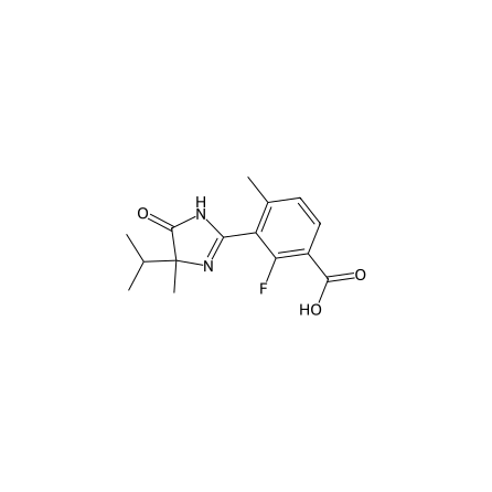 Cc1ccc(C(=O)O)c(F)c1C1=NC(C)(C(C)C)C(=O)N1